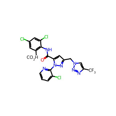 O=C(O)c1cc(Cl)cc(Cl)c1NC(=O)c1cc(Cn2cc(C(F)(F)F)nn2)nn1-c1ncccc1Cl